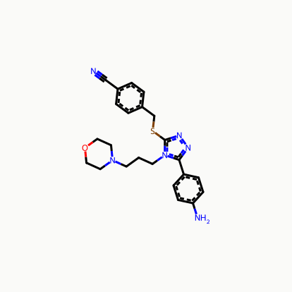 N#Cc1ccc(CSc2nnc(-c3ccc(N)cc3)n2CCCN2CCOCC2)cc1